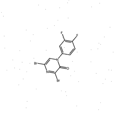 O=c1c(Br)nc(Br)cn1-c1ccc(F)c(F)c1